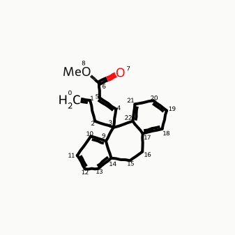 C=CCC1(C=CC(=O)OC)c2ccccc2CCc2ccccc21